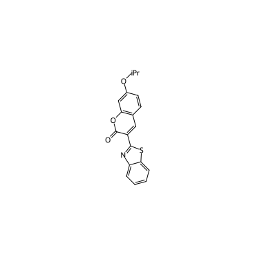 CC(C)Oc1ccc2cc(-c3nc4ccccc4s3)c(=O)oc2c1